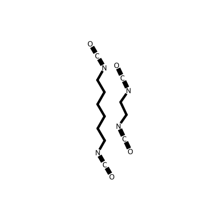 O=C=NCCCCCCN=C=O.O=C=NCCN=C=O